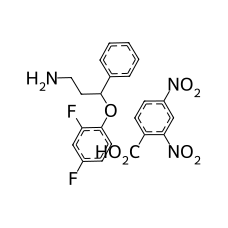 NCCC(Oc1ccc(F)cc1F)c1ccccc1.O=C(O)c1ccc([N+](=O)[O-])cc1[N+](=O)[O-]